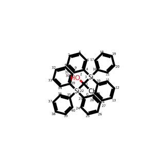 CC(O)([Si](c1ccccc1)(c1ccccc1)c1ccccc1)[Si](c1ccccc1)(c1ccccc1)c1ccccc1